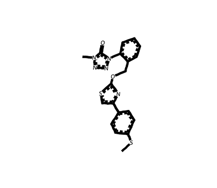 CSc1ccc(-c2csc(OCc3ccccc3-n3nnn(C)c3=O)n2)cc1